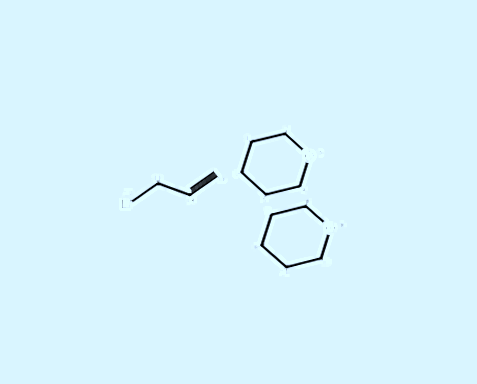 C1CCOCC1.C1CCOCC1.[Li][CH2]C=C